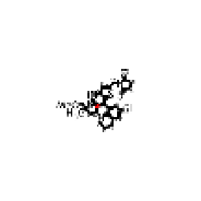 COC[C@@]1(C)C[C@H](N2CCCc3cc(Cl)cc(-c4ccnc5cc(CN6C(=O)CCC6=O)sc45)c32)CN1